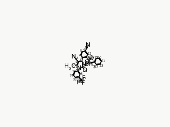 CC1=C(C#N)[C@@H](c2ccc(C#N)cc2S(=O)(=O)Cc2ccccc2)N(C)C(=O)N1c1cccc(C(F)(F)F)c1